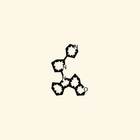 c1cc(-c2ccncc2)nc(-n2c3ccccc3c3c4ccoc4ccc32)c1